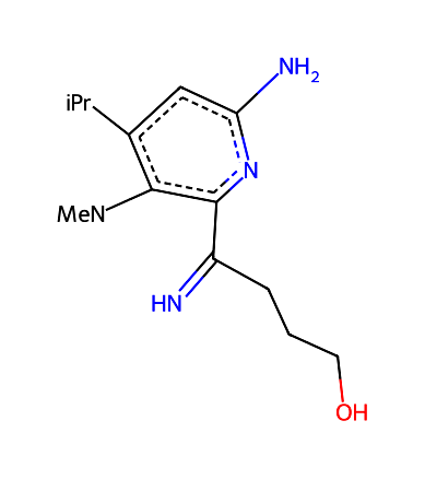 CNc1c(C(C)C)cc(N)nc1C(=N)CCCO